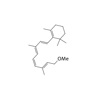 COCC=C(C)/C=C\C=C(C)C=CC1=C(C)CCCC1(C)C